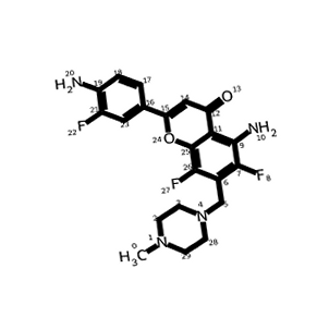 CN1CCN(Cc2c(F)c(N)c3c(=O)cc(-c4ccc(N)c(F)c4)oc3c2F)CC1